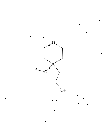 COC1(CCO)CCOCC1